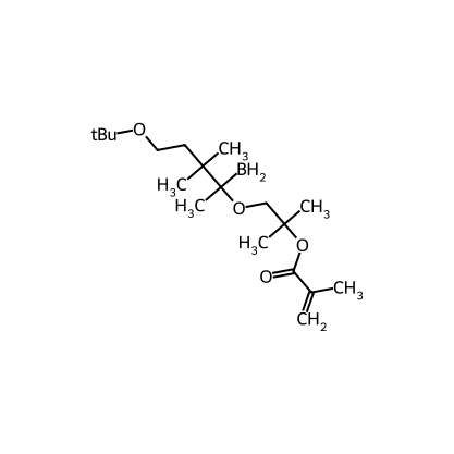 BC(C)(OCC(C)(C)OC(=O)C(=C)C)C(C)(C)CCOC(C)(C)C